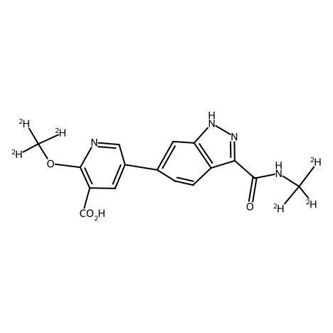 [2H]C([2H])([2H])NC(=O)c1n[nH]c2cc(-c3cnc(OC([2H])([2H])[2H])c(C(=O)O)c3)ccc12